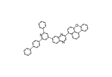 c1ccc(-c2ccc(-c3cc(-c4ccc5ncc(-c6ccc7c8c(cccc68)-c6ccccc6O7)nc5c4)cc(-c4ccccc4)n3)cc2)cc1